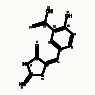 N=C1NC(=O)/C(=C\c2ccc(O)c(C(=O)O)c2)S1